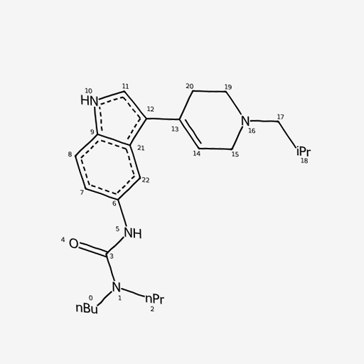 CCCCN(CCC)C(=O)Nc1ccc2[nH]cc(C3=CCN(CC(C)C)CC3)c2c1